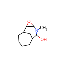 CN1C(O)C2CCCCC(C2)C2OC21